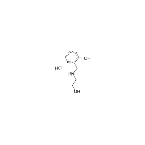 Cl.OCCNCc1ccccc1O